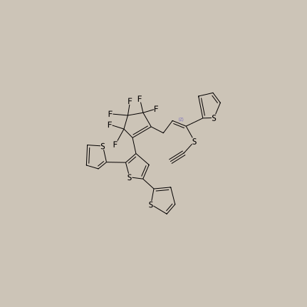 C#CS/C(=C\CC1=C(c2cc(-c3cccs3)sc2-c2cccs2)C(F)(F)C(F)(F)C1(F)F)c1cccs1